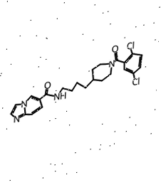 O=C(NCCCCC1CCN(C(=O)c2cc(Cl)ccc2Cl)CC1)c1ccc2nccn2c1